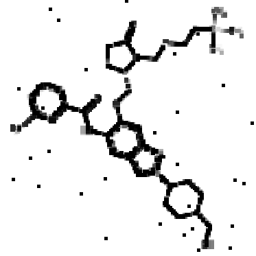 C[Si](C)(C)CCOCN1C(=O)CC[C@H]1COc1cc2nn(C3CCC(CO)CC3)cc2cc1NC(=O)c1cccc(C(F)(F)F)n1